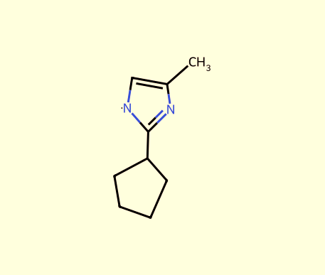 CC1=C[N]C(C2CCCC2)=N1